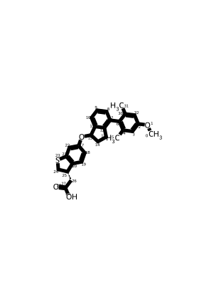 COc1cc(C)c(-c2cccc3c2CCC3Oc2ccc3c(c2)SC[C@H]3CC(=O)O)c(C)c1